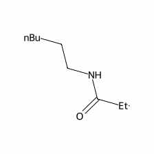 C[CH]C(=O)NCCCCCC